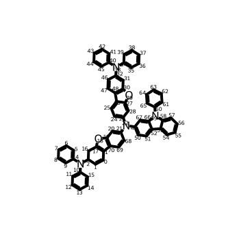 C1=CC(N(c2ccccc2)c2ccccc2)Cc2oc3cc(N(c4ccc5c(c4)oc4cc(N(c6ccccc6)c6ccccc6)ccc45)c4ccc5c6ccccc6n(-c6ccccc6)c5c4)ccc3c21